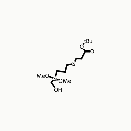 CO[Si](CO)(CCCSCCC(=O)OC(C)(C)C)OC